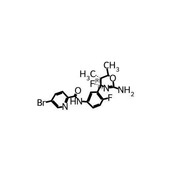 CC1OC(N)=N[C@@](F)(c2cc(NC(=O)c3ccc(Br)cn3)ccc2F)[C@@H]1C